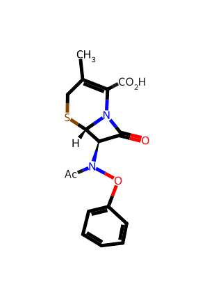 CC(=O)N(Oc1ccccc1)[C@@H]1C(=O)N2C(C(=O)O)=C(C)CS[C@@H]12